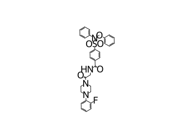 O=C(NCC(=O)N1CCN(c2ccccc2F)CC1)c1ccc(S(=O)(=O)N(Oc2ccccc2)c2ccccc2)cc1